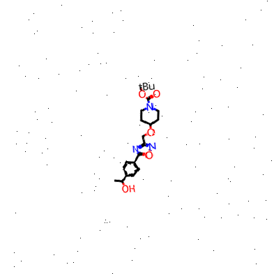 CC(O)c1ccc(-c2nc(COC3CCN(C(=O)OC(C)(C)C)CC3)no2)cc1